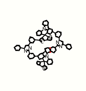 c1ccc(-c2cc(-c3cccc(-c4cc5c6c(c4)c4ccccc4n6-c4ccccc4C54c5ccccc5-c5ccc(-c6cccc(-c7cc(-c8ccccc8)nc(-c8cccc(-c9cc%10c%11c(c9)c9ccccc9n%11-c9ccccc9C%109c%10ccccc%10-c%10ccccc%109)c8)n7)c6)cc54)c3)nc(-c3ccccc3)n2)cc1